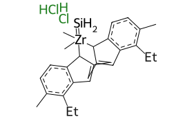 CCc1c(C)ccc2c1C=C(C)[CH]2[Zr]([CH3])([CH3])(=[SiH2])[CH]1C(C)=Cc2c1ccc(C)c2CC.Cl.Cl